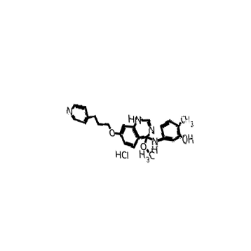 COC1(Nc2ccc(C)c(O)c2)N=CNc2cc(OCCCc3ccncc3)ccc21.Cl